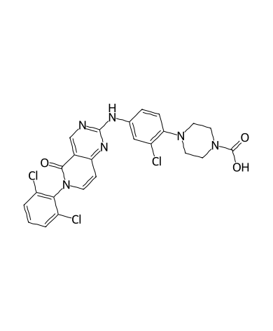 O=C(O)N1CCN(c2ccc(Nc3ncc4c(=O)n(-c5c(Cl)cccc5Cl)ccc4n3)cc2Cl)CC1